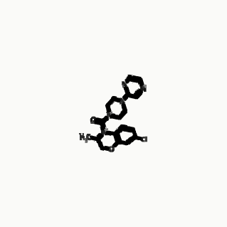 CC1COc2cc(Cl)ccc2N1C(=O)N1CCN(c2cnccn2)CC1